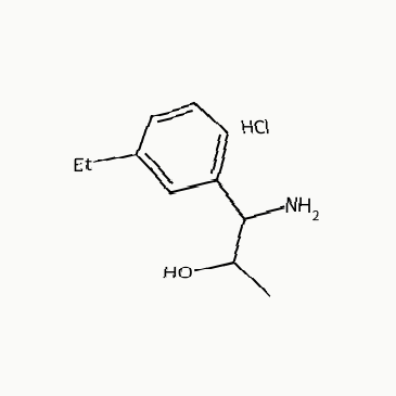 CCc1cccc(C(N)C(C)O)c1.Cl